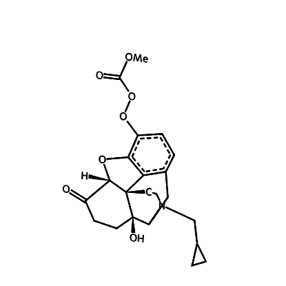 COC(=O)OOc1ccc2c3c1O[C@H]1C(=O)CC[C@@]4(O)C(C2)N(CC2CC2)CC[C@]314